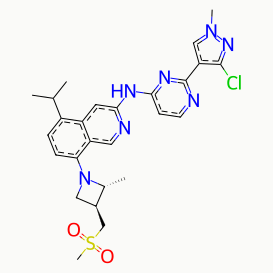 CC(C)c1ccc(N2C[C@H](CS(C)(=O)=O)[C@H]2C)c2cnc(Nc3ccnc(-c4cn(C)nc4Cl)n3)cc12